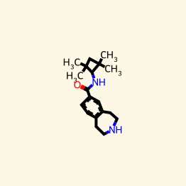 CC1(C)CC(C)(C)C1NC(=O)c1ccc2c(c1)CCNCC2